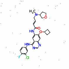 CN(CC=CC(=O)Nc1cc2c(Nc3ccc(F)c(Cl)c3)ncnc2cc1OC1CCC1)C1CCOC1